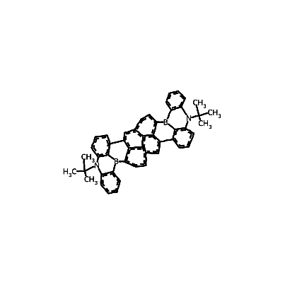 CC(C)(C)N1c2ccccc2B2c3c(cccc31)-c1cc3ccc4c5c(cc6ccc2c1c6c35)-c1cccc2c1B4c1ccccc1N2C(C)(C)C